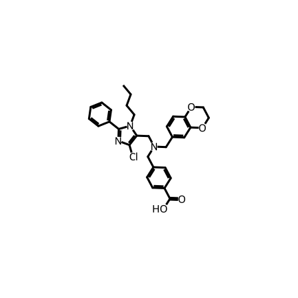 CCCCn1c(-c2ccccc2)nc(Cl)c1CN(Cc1ccc(C(=O)O)cc1)Cc1ccc2c(c1)OCCO2